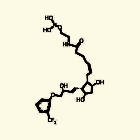 O=C(CCC/C=C\C[C@@H]1[C@@H](/C=C/[C@@H](O)COc2cccc(C(F)(F)F)c2)[C@H](O)C[C@@H]1O)NCCON(O)O